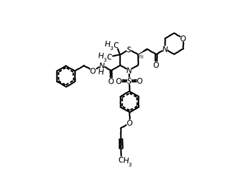 CC#CCOc1ccc(S(=O)(=O)N2C[C@H](CC(=O)N3CCOCC3)SC(C)(C)C2C(=O)NOCc2ccccc2)cc1